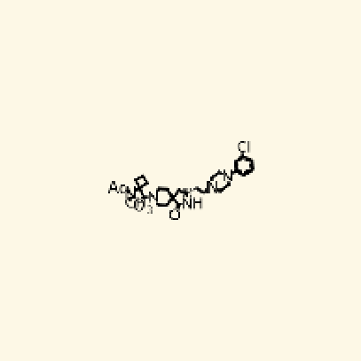 CC(=O)N(C)C1(C(=O)N2CCC3(CC2)C[C@H](CCN2CCN(c4cccc(Cl)c4)CC2)NC3=O)CCC1